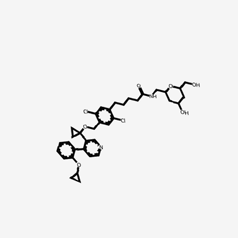 O=C(CCCCc1cc(Cl)c(COC2(c3cnccc3-c3ccccc3OC3CC3)CC2)cc1Cl)NCC1CC(O)CC(CO)O1